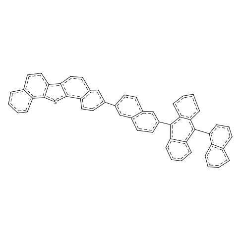 c1ccc2c(-c3c4ccccc4c(-c4ccc5cc(-c6ccc7c(ccc8c9ccc%10ccccc%10c9sc78)c6)ccc5c4)c4ccccc34)cccc2c1